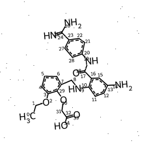 CCOc1cccc(CNc2ccc(N)cc2C(=O)Nc2ccc(C(=N)N)cc2)c1OCC(=O)O